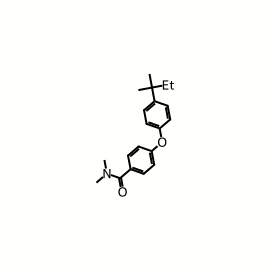 CCC(C)(C)c1ccc(Oc2ccc(C(=O)N(C)C)cc2)cc1